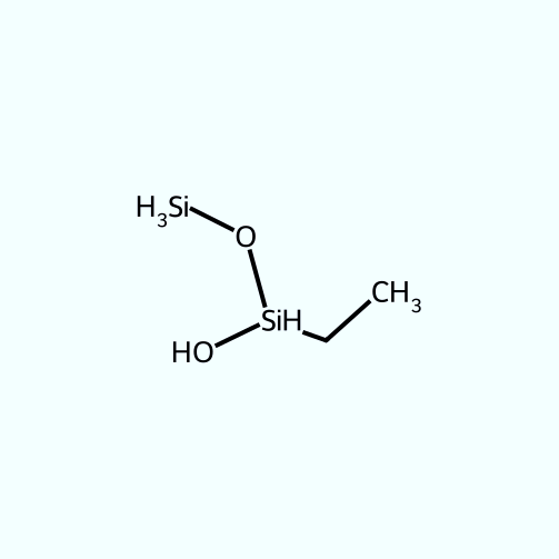 CC[SiH](O)O[SiH3]